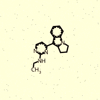 CCNc1nccc(-c2c3n(c4ccccc24)CCC3)n1